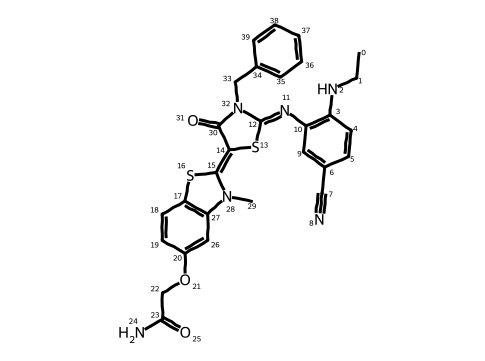 CCNc1ccc(C#N)cc1N=C1SC(=C2Sc3ccc(OCC(N)=O)cc3N2C)C(=O)N1Cc1ccccc1